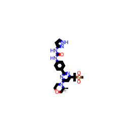 C[C@H]1COCCN1c1cc(C(C)(C)S(C)(=O)=O)nc(-c2ccc(NC(=O)Nc3cc[nH]n3)cc2)n1